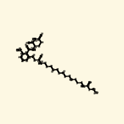 CC(C)OCC(=O)NCCCOCCOCCOCCCNC(=O)COc1cccc(C=O)c1C(=O)NC1CCC(=O)NC1=O